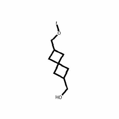 OCC1CC2(C1)CC(COI)C2